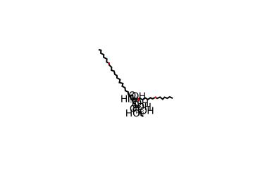 CCCCCCCCCCCCCCCCCCCCCCCC(=O)N[C@@H](COC(OC)C(O)[C@@H](O)[C@H](O)CC)[C@H](O)[C@H](O)CCCCCCCCCCCCCC